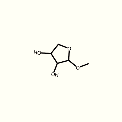 COC1OCC(O)C1O